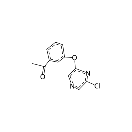 CC(=O)c1cccc(Oc2cncc(Cl)n2)c1